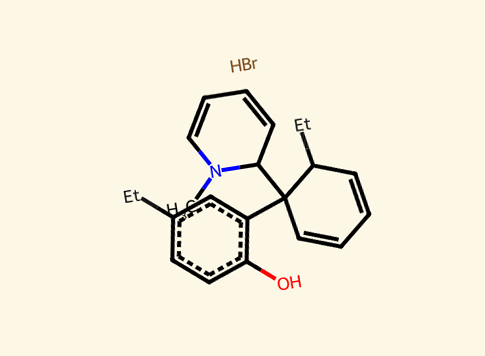 Br.CCc1ccc(O)c(C2(C3C=CC=CN3C)C=CC=CC2CC)c1